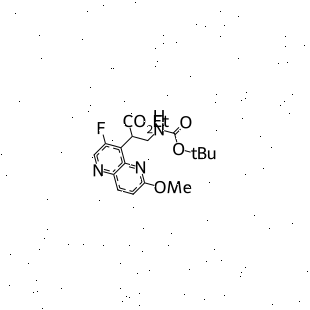 CCOC(=O)C(CNC(=O)OC(C)(C)C)c1c(F)cnc2ccc(OC)nc12